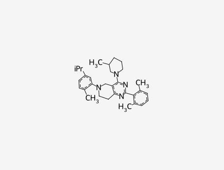 Cc1ccc(C(C)C)cc1N1CCc2nc(-c3c(C)cccc3C)nc(N3CCCC(C)C3)c2C1